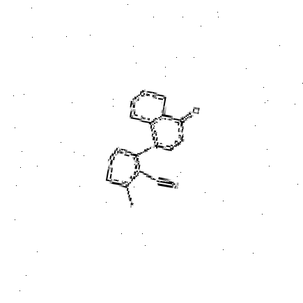 N#Cc1c(F)cccc1-n1ccc(=O)c2ccccc21